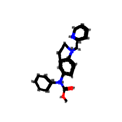 COC(=O)N(c1ccc2c(c1)CCN2Cc1ccccn1)C1CCCCC1